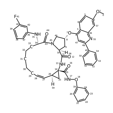 COc1ccc2c(O[C@@H]3C[C@H]4C(=O)N[C@]5(C(=O)NOc6ccccc6)C[C@H]5/C=C\CCCCC[C@H](Nc5cccc(F)c5)C(=O)N4C3)cc(-c3ccccc3)nc2c1